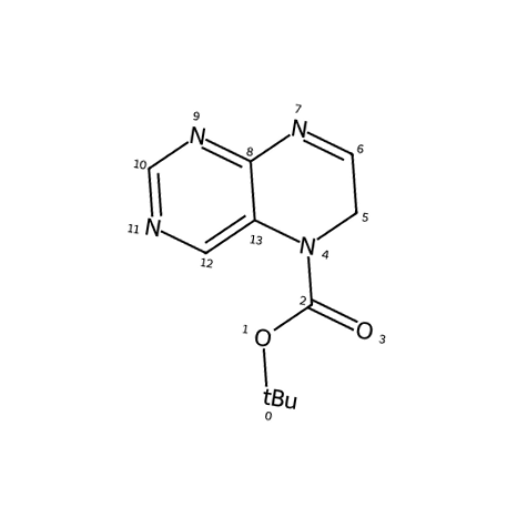 CC(C)(C)OC(=O)N1CC=Nc2ncncc21